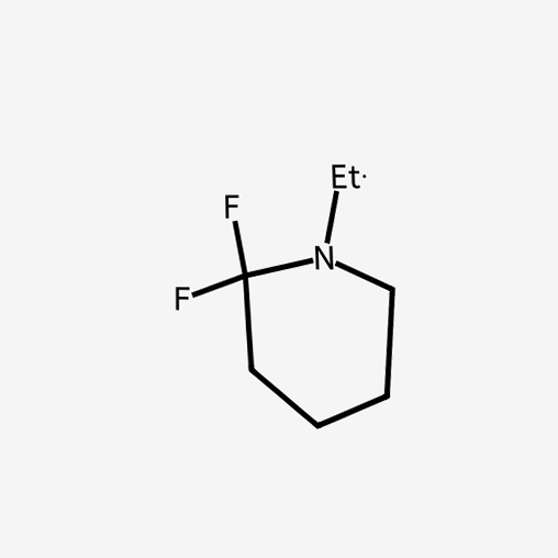 C[CH]N1CCCCC1(F)F